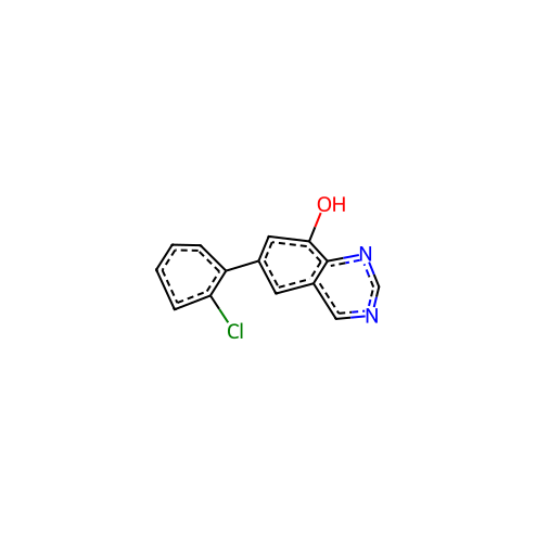 Oc1cc(-c2ccccc2Cl)cc2cncnc12